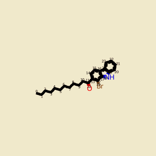 CCCCCCCCCCCC(=O)c1ccc2c([nH]c3ccccc32)c1Br